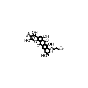 COCCCNC1CC(C)(O)Cc2cc3c(c(O)c21)C(=O)c1c(O)cc2c(c1C3=O)OC1OC2(C)C(O)C(N(C)C)C1O